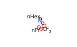 CCCCCCc1ccc(-c2ccc(OC(COC(=O)CCC)C(F)(F)F)cc2)nc1